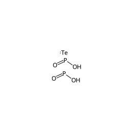 O=PO.O=PO.[Te]